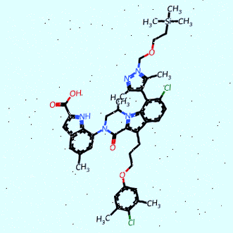 Cc1cc(N2CC(C)n3c(c(CCCOc4cc(C)c(Cl)c(C)c4)c4ccc(Cl)c(-c5c(C)nn(COCC[Si](C)(C)C)c5C)c43)C2=O)c2[nH]c(C(=O)O)cc2c1